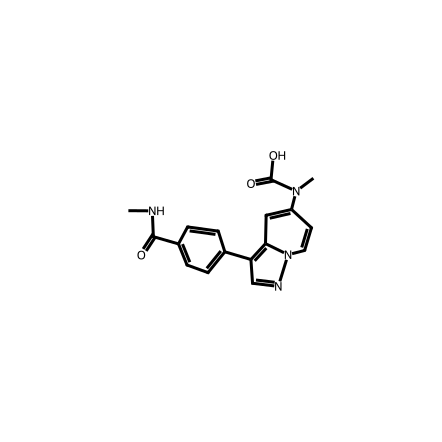 CNC(=O)c1ccc(-c2cnn3ccc(N(C)C(=O)O)cc23)cc1